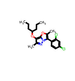 CCCC(CCC)Oc1c(C)nn2c(-c3ccc(Cl)cc3Cl)c(C)oc12